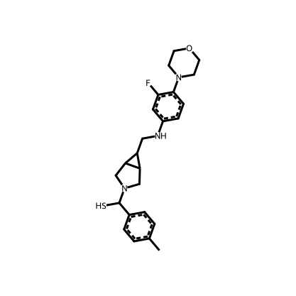 Cc1ccc(C(S)N2CC3C(CNc4ccc(N5CCOCC5)c(F)c4)C3C2)cc1